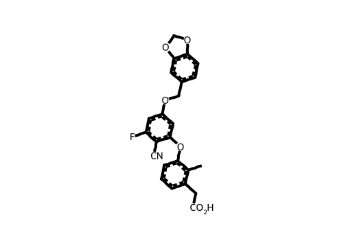 Cc1c(CC(=O)O)cccc1Oc1cc(OCc2ccc3c(c2)OCO3)cc(F)c1C#N